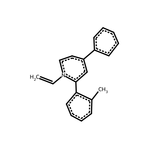 C=C[n+]1ccc(-c2ccccc2)cc1-c1ccccc1C